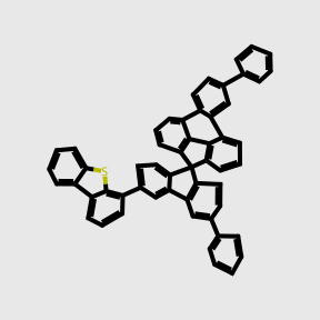 c1ccc(-c2ccc3c(c2)-c2cc(-c4cccc5c4sc4ccccc45)ccc2C32c3cccc4c5ccc(-c6ccccc6)cc5c5cccc2c5c34)cc1